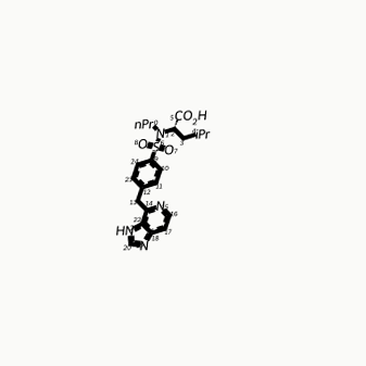 CCCN([C@@H](CC(C)C)C(=O)O)S(=O)(=O)c1ccc(Cc2nccc3nc[nH]c23)cc1